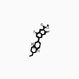 CCC1CC[C@@H]2CC(c3cc(F)c4cc(C(=O)OC)c(F)cc4c3)CC[C@H]2C1